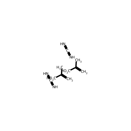 C=C(C)C(=O)O.C=C(C)C(=O)O.N=C=N.N=C=N